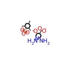 COC(=O)c1cc(N)[n+](N)cc1OC.Cc1cc(C)c(S(=O)(=O)[O-])c(C)c1